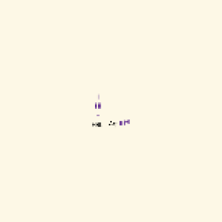 I.I.I.I.I.[Ag].[RbH]